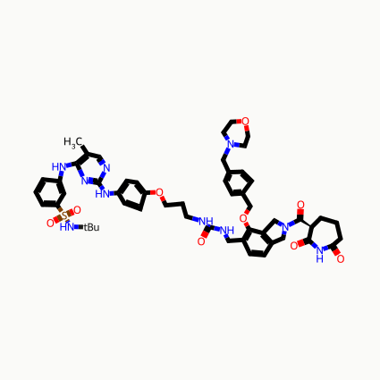 Cc1cnc(Nc2ccc(OCCCNC(=O)NCc3ccc4c(c3OCc3ccc(CN5CCOCC5)cc3)CN(C(=O)[C@H]3CCCC(=O)NC3=O)C4)cc2)nc1Nc1cccc(S(=O)(=O)NC(C)(C)C)c1